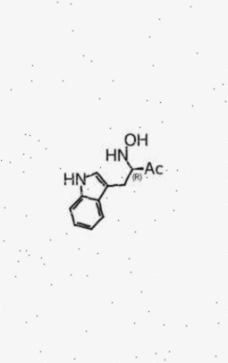 CC(=O)[C@@H](Cc1c[nH]c2ccccc12)NO